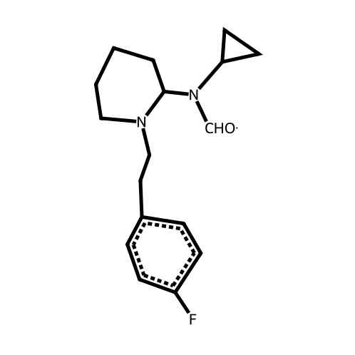 O=[C]N(C1CC1)C1CCCCN1CCc1ccc(F)cc1